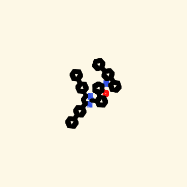 c1ccc(-c2ccc(C3=NC(c4cccc5oc6c(-n7c8ccccc8c8ccc(-c9ccccc9)cc87)cccc6c45)=N[C@H](c4ccc(-c5ccccc5)cc4)C3)cc2)cc1